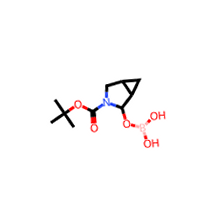 CC(C)(C)OC(=O)N1CC2CC2C1OB(O)O